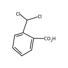 O=C(O)c1ccccc1C(Cl)Cl